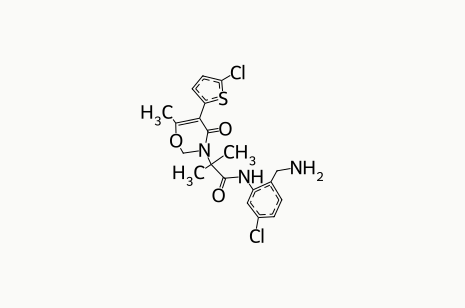 CC1=C(c2ccc(Cl)s2)C(=O)N(C(C)(C)C(=O)Nc2cc(Cl)ccc2CN)CO1